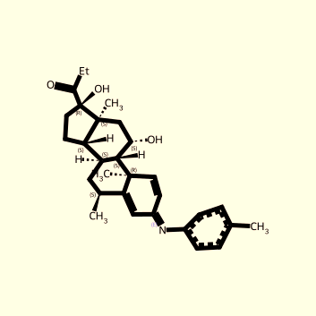 CCC(=O)[C@@]1(O)CC[C@H]2[C@@H]3C[C@H](C)C4=C/C(=N/c5ccc(C)cc5)C=C[C@]4(C)[C@H]3[C@@H](O)C[C@@]21C